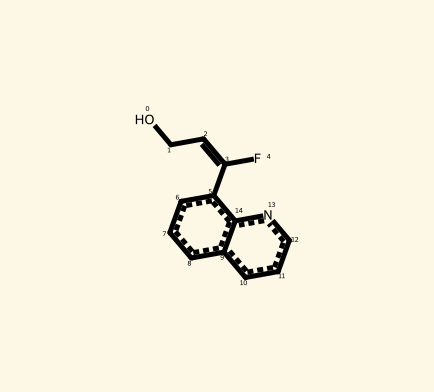 OC/C=C(/F)c1cccc2cccnc12